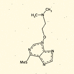 CSc1ncn(OCCN(C)C)c2ncnc1-2